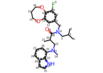 CC(C)CN(Cc1cc(F)c2c(c1)OCCCO2)C(=O)C(C)CN(C)c1cccc2cc[nH]c12